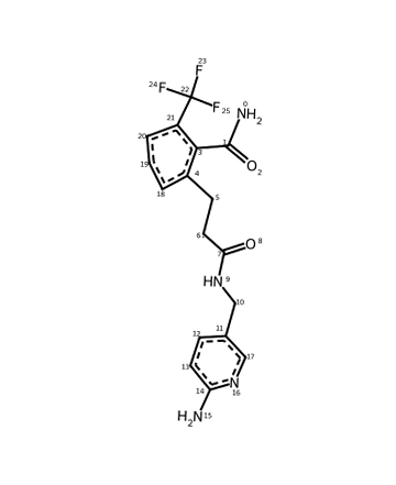 NC(=O)c1c(C[CH]C(=O)NCc2ccc(N)nc2)cccc1C(F)(F)F